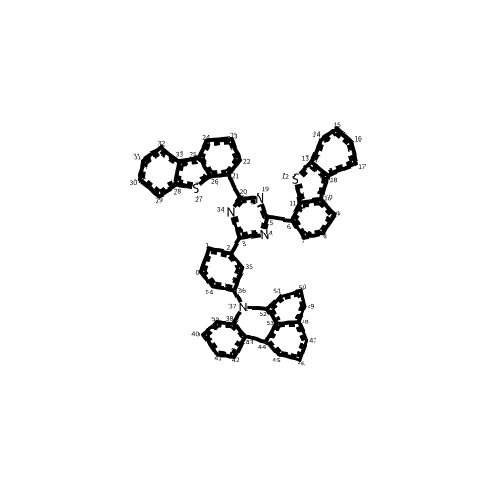 c1cc(-c2nc(-c3cccc4c3sc3ccccc34)nc(-c3cccc4c3sc3ccccc34)n2)cc(N2c3ccccc3-c3cccc4cccc2c34)c1